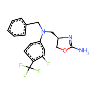 NC1=N[C@H](CN(Cc2ccccc2)c2ccc(C(F)(F)F)c(F)c2)CO1